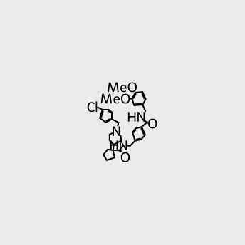 COc1ccc(CNC(=O)c2ccc(CNC(=O)C3(C4CCN(Cc5ccc(Cl)cc5)CC4)CCCC3)cc2)cc1OC